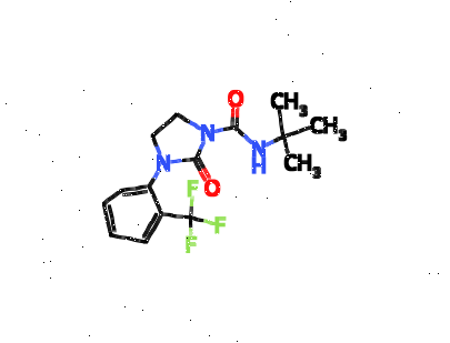 CC(C)(C)NC(=O)N1CCN(c2ccccc2C(F)(F)F)C1=O